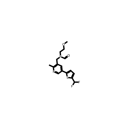 COCCN(C=O)Cc1cc(-c2ccc(C(F)F)s2)cnc1C